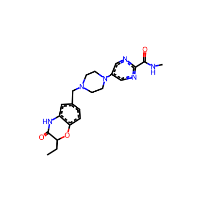 CCC1Oc2ccc(CN3CCN(c4cnc(C(=O)NC)nc4)CC3)cc2NC1=O